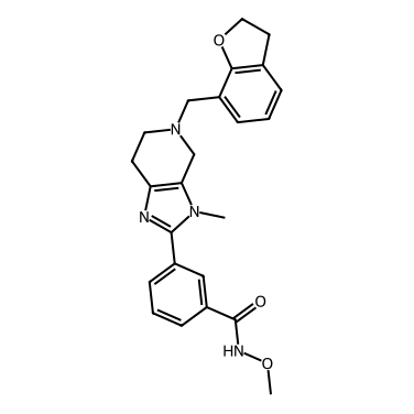 CONC(=O)c1cccc(-c2nc3c(n2C)CN(Cc2cccc4c2OCC4)CC3)c1